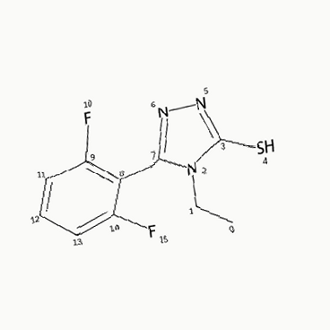 CCn1c(S)nnc1-c1c(F)cccc1F